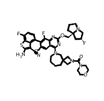 N#Cc1c(N)sc2c(F)ccc(-c3c(Cl)cc4c(N5CCCCC6(CN(C(=O)N7CCOCC7)C6)C5)nc(OC[C@@]56CCCN5C[C@H](F)C6)nc4c3F)c12